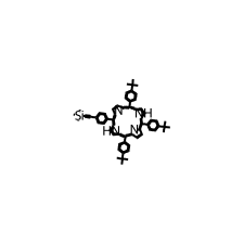 CC(C)(C)c1ccc(-c2c3nc(c(-c4ccc(C(C)(C)C)cc4)c4ccc([nH]4)c(-c4ccc(C(C)(C)C)cc4)c4nc(c(-c5ccc(C#C[Si](C)(C)C)cc5)c5ccc2[nH]5)C=C4)C=C3)cc1